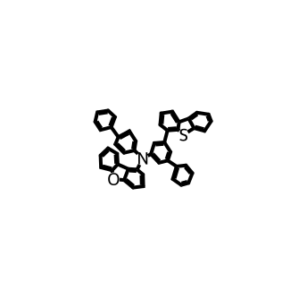 c1ccc(-c2ccc(N(c3cc(-c4ccccc4)cc(-c4cccc5c4sc4ccccc45)c3)c3cccc4oc5ccccc5c34)cc2)cc1